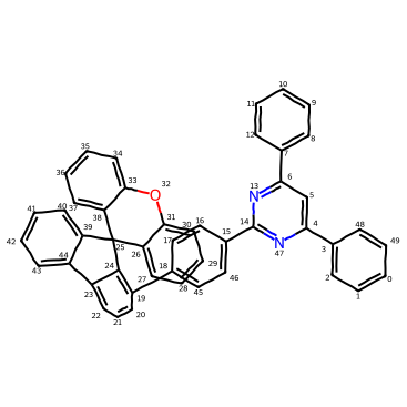 c1ccc(-c2cc(-c3ccccc3)nc(-c3ccc(-c4cccc5c4C4(c6ccccc6Oc6ccccc64)c4ccccc4-5)cc3)n2)cc1